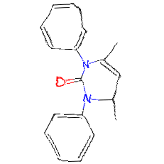 CC1=CC(C)N(c2ccccc2)C(=O)N1c1ccccc1